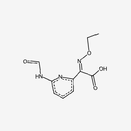 CCON=C(C(=O)O)c1cccc(NC=O)n1